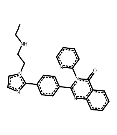 CCNCCn1ccnc1-c1ccc(-c2nc3ccccc3c(=O)n2-c2ccccn2)cc1